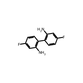 Nc1cc(F)ccc1-c1ccc(F)cc1N